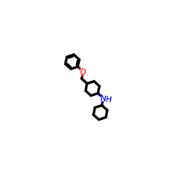 c1ccc(OCC2CCC(NC3CCCCC3)CC2)cc1